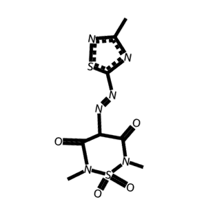 Cc1nsc(N=NC2C(=O)N(C)S(=O)(=O)N(C)C2=O)n1